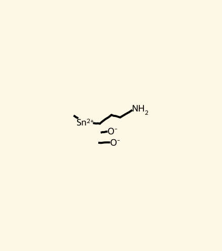 C[O-].C[O-].[CH3][Sn+2][CH2]CCN